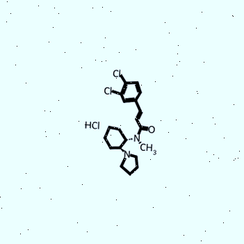 CN(C(=O)C=Cc1ccc(Cl)c(Cl)c1)[C@H]1CCCC[C@@H]1N1CCCC1.Cl